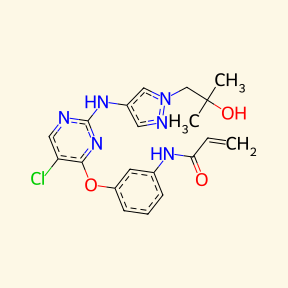 C=CC(=O)Nc1cccc(Oc2nc(Nc3cnn(CC(C)(C)O)c3)ncc2Cl)c1